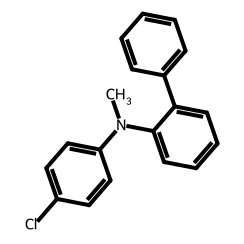 CN(c1ccc(Cl)cc1)c1ccccc1-c1ccccc1